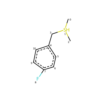 C[SH](C)Cc1ccc(F)cc1